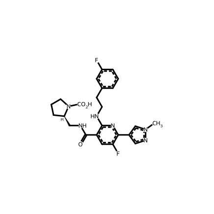 Cn1cc(-c2nc(NCCc3cccc(F)c3)c(C(=O)NC[C@H]3CCCN3C(=O)O)cc2F)cn1